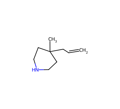 C=CCC1(C)CCNCC1